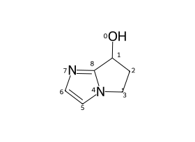 OC1C[CH]n2ccnc21